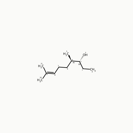 CC[C@@H](O)[C@H](C)CCC=C(C)C